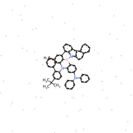 Cc1cc2c3c(c1)N(c1ccc(C(C)(C)C)cc1-c1ccccc1)c1cc(N(c4ccccc4)c4ccccc4)ccc1B3n1c3ccc4ccccc4c3c3cccc-2c31